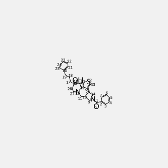 O=C(c1ccccc1)N1CC(CN2CCC(O)(CCCc3ccccc3)CC2)C(c2ccsc2)C1